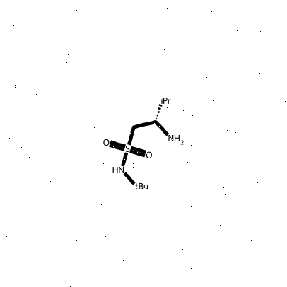 CC(C)[C@H](N)CS(=O)(=O)NC(C)(C)C